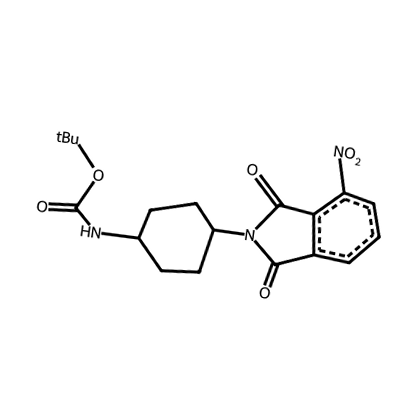 CC(C)(C)OC(=O)NC1CCC(N2C(=O)c3cccc([N+](=O)[O-])c3C2=O)CC1